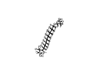 O=S(=O)(O)C(F)(F)C(F)C(F)(F)C(F)(F)C(F)(F)C(F)(F)C(F)(F)C(F)(F)C(F)(F)C(F)(F)OC(F)(F)C(F)(F)S(=O)(=O)O